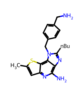 CCCCc1nc2c(N)nc3cc(C)sc3c2n1Cc1ccc(CN)cc1